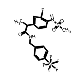 CC(C(=O)NCc1ccc(S(F)(F)(F)(F)F)cc1)c1ccc(NS(C)(=O)=O)c(F)c1